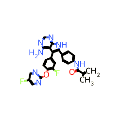 C=C(C)C(=O)Nc1ccc(-c2[nH]c3ncnc(N)c3c2-c2ccc(Oc3ncc(F)cn3)c(F)c2)cc1